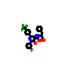 O=C(NC(CO)Cc1ccccc1)c1cc(-c2ccc(C(F)(F)F)cc2)nn(-c2cccc(F)c2)c1=O